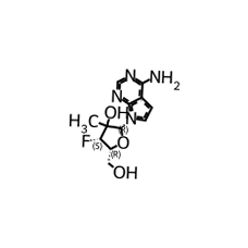 CC1(O)[C@@H](F)[C@@H](CO)O[C@H]1n1ccc2c(N)ncnc21